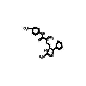 N=C(N)NC(CC[C@H](N)C(=O)Nc1ccc([N+](=O)[O-])cc1)C(=O)c1ccccc1